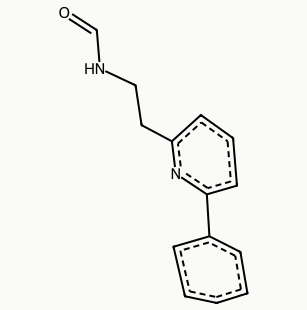 O=CNCCc1cccc(-c2ccccc2)n1